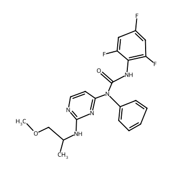 COCC(C)Nc1nccc(N(C(=O)Nc2c(F)cc(F)cc2F)c2ccccc2)n1